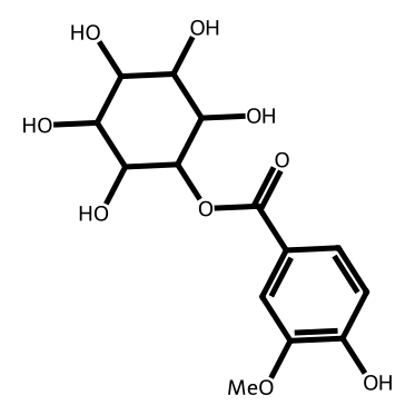 COc1cc(C(=O)OC2C(O)C(O)C(O)C(O)C2O)ccc1O